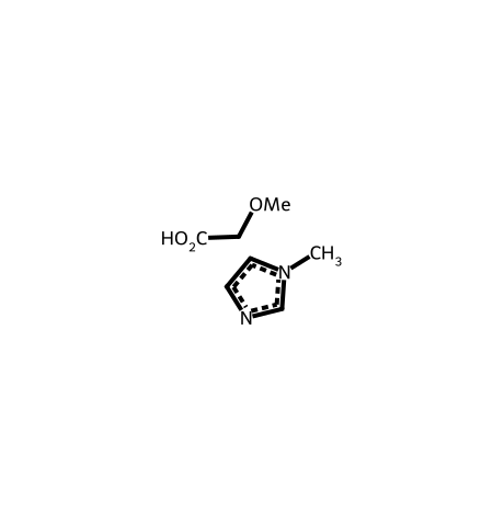 COCC(=O)O.Cn1ccnc1